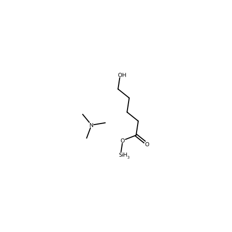 CN(C)C.O=C(CCCCO)O[SiH3]